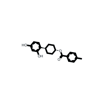 Cc1ccc(C(=O)O[C@H]2CC[C@H](c3ccc(O)cc3O)CC2)cc1